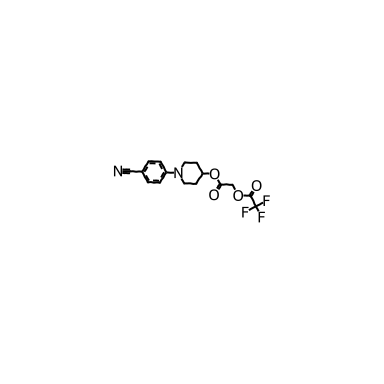 N#Cc1ccc(N2CCC(OC(=O)COC(=O)C(F)(F)F)CC2)cc1